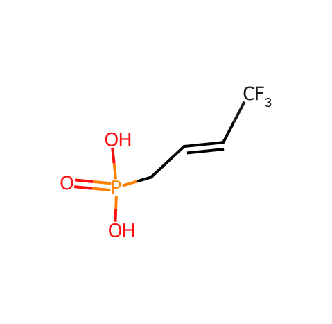 O=P(O)(O)CC=CC(F)(F)F